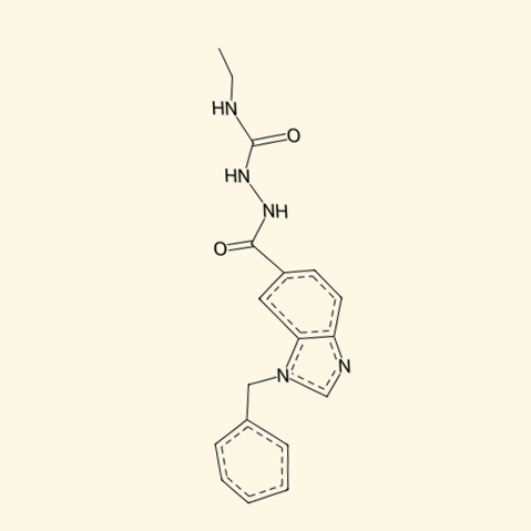 CCNC(=O)NNC(=O)c1ccc2ncn(Cc3ccccc3)c2c1